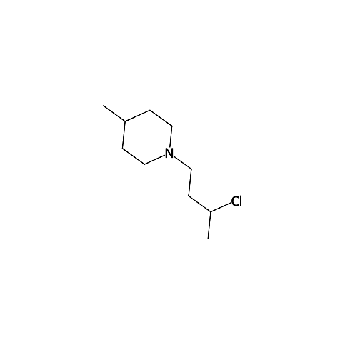 CC(Cl)CCN1CCC(C)CC1